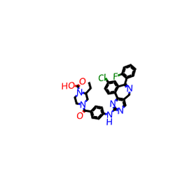 CCC1CN(C(=O)c2ccc(Nc3ncc4c(n3)-c3ccc(Cl)cc3C(c3ccccc3F)=NC4)cc2)CCN1C(=O)O